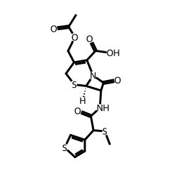 CSC(C(=O)NC1C(=O)N2C(C(=O)O)=C(COC(C)=O)CS[C@H]12)c1ccsc1